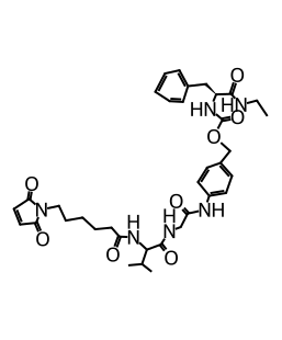 CCNC(=O)[C@H](Cc1ccccc1)NC(=O)OCc1ccc(NC(=O)CNC(=O)C(NC(=O)CCCCCN2C(=O)C=CC2=O)C(C)C)cc1